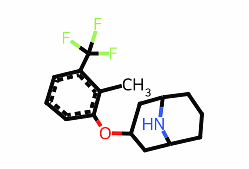 Cc1c(OC2CC3CCCC(C2)N3)cccc1C(F)(F)F